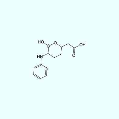 O=C(O)CC1CCC(Nc2ccccn2)B(O)O1